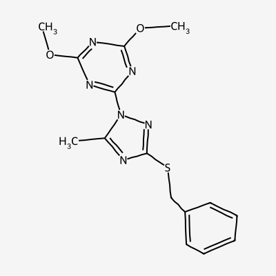 COc1nc(OC)nc(-n2nc(SCc3ccccc3)nc2C)n1